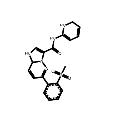 CS(=O)(=O)c1ccccc1C1=NN2C(C(=O)NC3=CC=CCN3)=CNC2C=C1